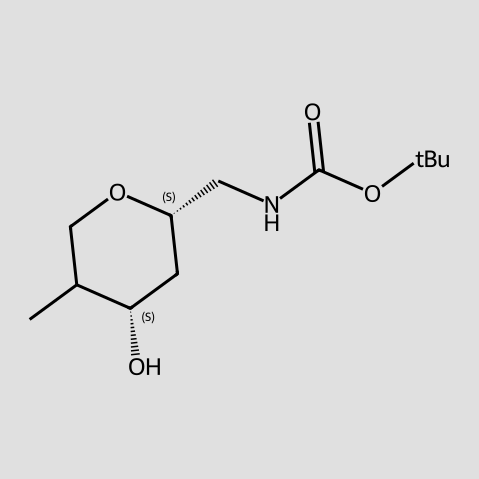 CC1CO[C@H](CNC(=O)OC(C)(C)C)C[C@@H]1O